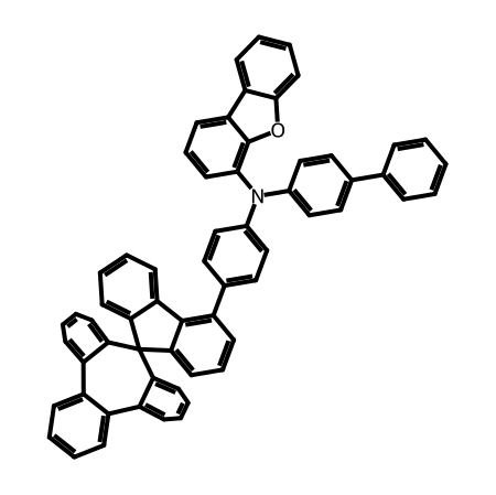 c1ccc(-c2ccc(N(c3ccc(-c4cccc5c4-c4ccccc4C54c5ccccc5-c5ccccc5-c5ccccc54)cc3)c3cccc4c3oc3ccccc34)cc2)cc1